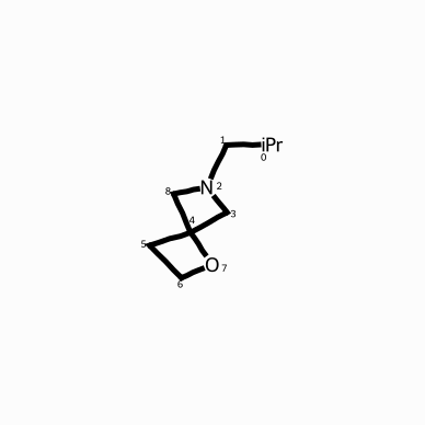 CC(C)CN1CC2(CCO2)C1